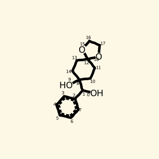 OC(c1ccccc1)C1(O)CCC2(CC1)OCCO2